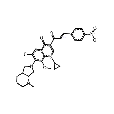 COc1c(N2CC3CCCN(C)C3C2)c(F)cc2c(=O)c(C(=O)/C=C/c3ccc([N+](=O)[O-])cc3)cn(C3CC3)c12